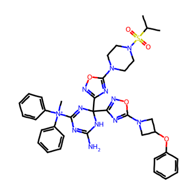 CC(C)S(=O)(=O)N1CCN(c2nc(C3(c4noc(N5CC(Oc6ccccc6)C5)n4)N=C([N+](C)(c4ccccc4)c4ccccc4)N=C(N)N3)no2)CC1